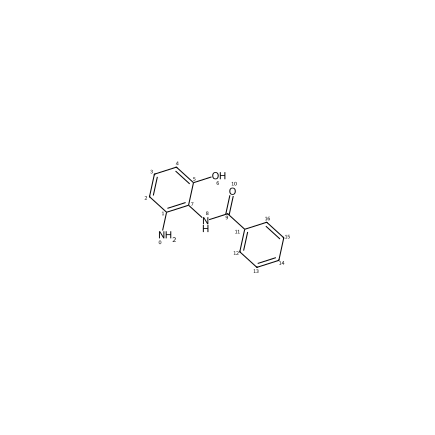 Nc1cccc(O)c1NC(=O)c1ccccc1